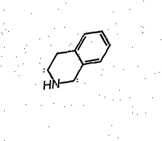 [C]1Cc2ccccc2[C]N1